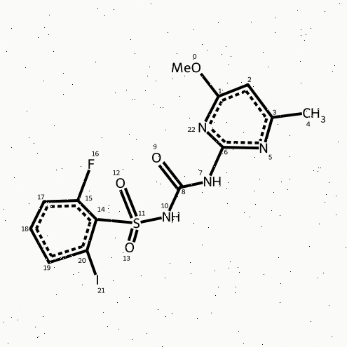 COc1cc(C)nc(NC(=O)NS(=O)(=O)c2c(F)cccc2I)n1